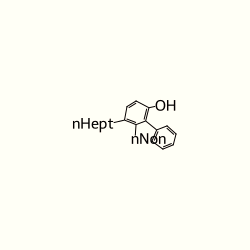 CCCCCCCCCc1c(CCCCCCC)ccc(O)c1-c1ccccc1